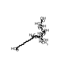 COC(O)[C@H](CCC(=O)N[C@@H](CCC(=O)N[C@@H](CCC(=O)CO)C(=O)O)C(=O)O)NC(=O)CC[C@@H](C)NC(=O)CCCCCCCCCCCCCCC(=O)O